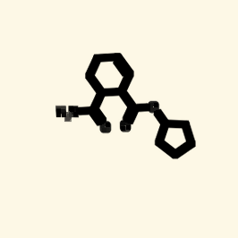 NC(=O)C1CCC=CC1C(=O)OC1CCCC1